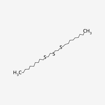 CCCCCCCCCCSCCSCCSCCCCCCCCCC